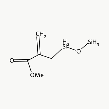 C=C(C[SiH2]O[SiH3])C(=O)OC